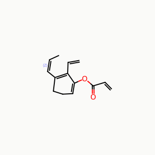 C=CC(=O)OC1=CCCC(/C=C\C)=C1C=C